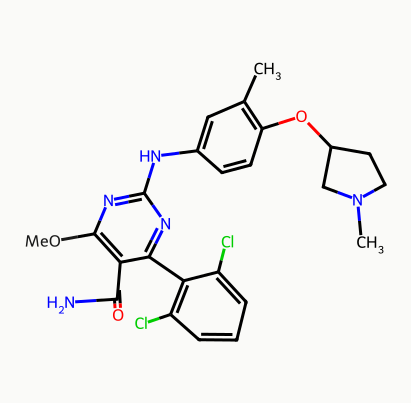 COc1nc(Nc2ccc(OC3CCN(C)C3)c(C)c2)nc(-c2c(Cl)cccc2Cl)c1C(N)=O